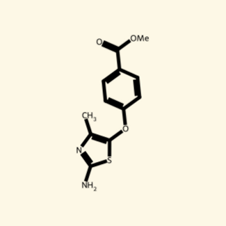 COC(=O)c1ccc(Oc2sc(N)nc2C)cc1